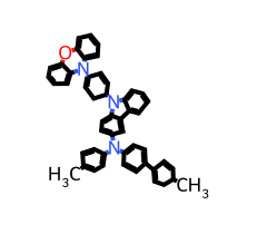 Cc1ccc(N(c2ccc(C3=CCC(C)C=C3)cc2)c2ccc3c(c2)c2ccccc2n3C2C=CC(N3c4ccccc4Oc4ccccc43)=CC2)cc1